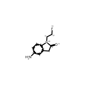 Nc1ccc2c(c1)CC(=O)N2CCF